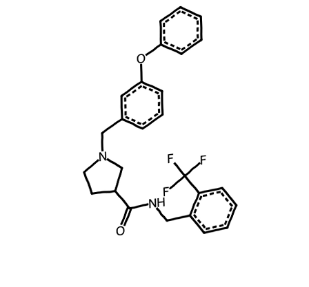 O=C(NCc1ccccc1C(F)(F)F)C1CCN(Cc2cccc(Oc3ccccc3)c2)C1